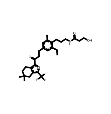 CCc1cc(CCC(=O)c2sc(C(F)(F)F)c3c2CCC(C)(C)C3)cc(C)c1CCCNC(=O)CCO